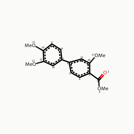 COC(=O)c1ccc(-c2ccc(OC)c(OC)c2)cc1OC